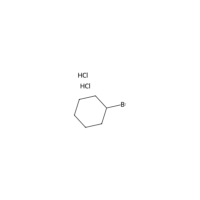 Cl.Cl.[B]C1CCCCC1